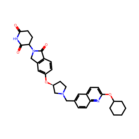 O=C1CCC(N2Cc3cc(O[C@H]4CCN(Cc5ccc6nc(OC7CCCCC7)ccc6c5)C4)ccc3C2=O)C(=O)N1